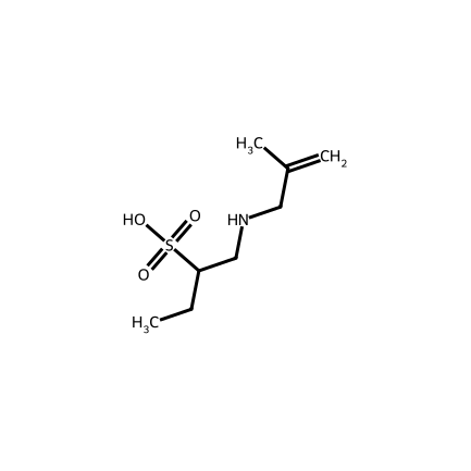 C=C(C)CNCC(CC)S(=O)(=O)O